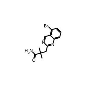 CC(C)(Cc1ncc2c(Br)cccc2n1)C(N)=O